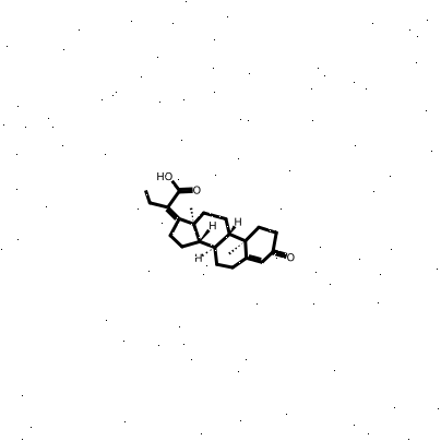 CCC(C(=O)O)=C1CC[C@H]2[C@@H]3CCC4=CC(=O)CC[C@]4(C)[C@H]3CC[C@]12C